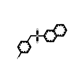 O=S(=O)(Cc1ccc(F)cc1)c1ccc2ccccc2c1